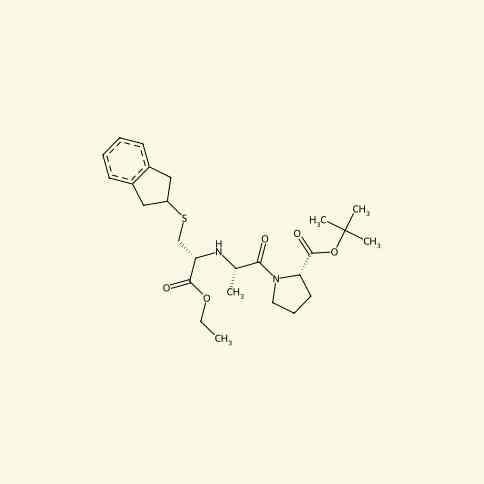 CCOC(=O)[C@H](CSC1Cc2ccccc2C1)N[C@@H](C)C(=O)N1CCC[C@H]1C(=O)OC(C)(C)C